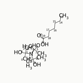 CC(C)(O)N(C(C)(C)O)C(C)(C)O.CCCCCCC(=O)O